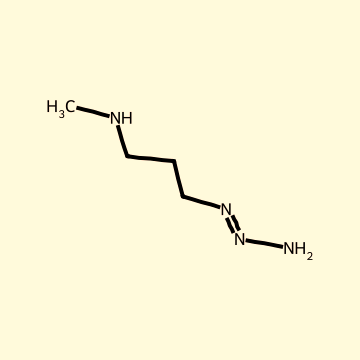 CNCCCN=NN